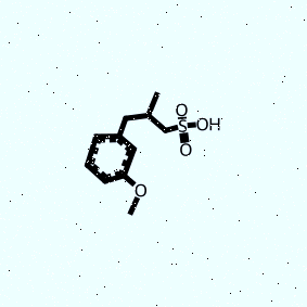 COc1cccc(CC(C)CS(=O)(=O)O)c1